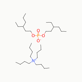 CCCC(CC)CCOP(=O)([O-])OCCC(CC)CCC.CCCC[N+](CCCC)(CCCC)CCCC